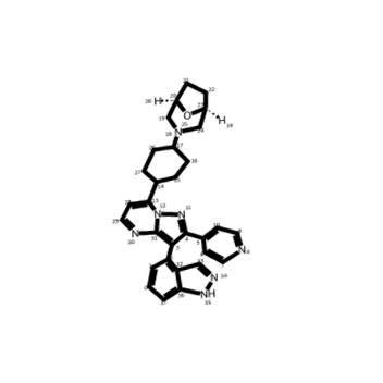 c1cc(-c2c(-c3ccncc3)nn3c(C4CCC(N5C[C@H]6CC[C@@H](C5)O6)CC4)ccnc23)c2cn[nH]c2c1